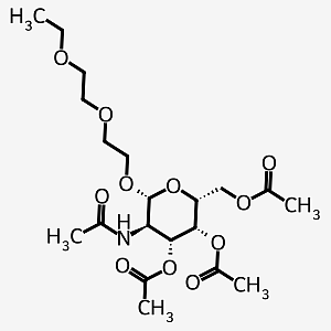 CCOCCOCCO[C@@H]1O[C@H](COC(C)=O)[C@H](OC(C)=O)[C@H](OC(C)=O)[C@H]1NC(C)=O